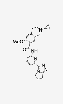 COc1cc2c(cc1C(=O)Nc1cccc(-c3nnc4n3CCC4)n1)CN(C1CC1)CC2